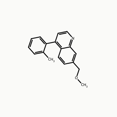 COCc1ccc2c(-c3ccccc3C)ccnc2c1